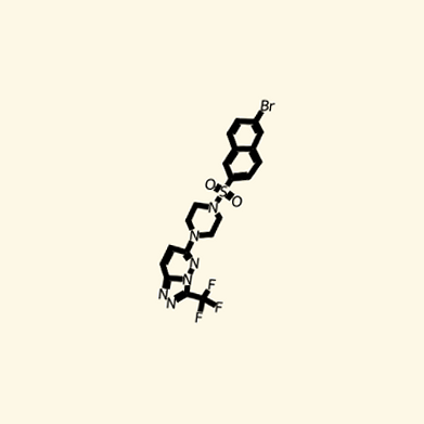 O=S(=O)(c1ccc2cc(Br)ccc2c1)N1CCN(c2ccc3nnc(C(F)(F)F)n3n2)CC1